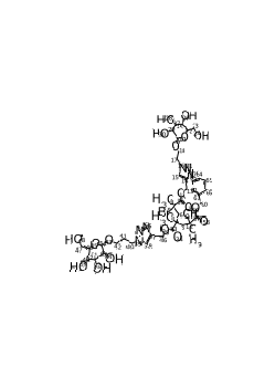 CC(C)(CC(C)(CC(C)(Br)C(=O)OCc1cn(CCO[C@@H]2OC(CO)[C@H](O)[C@H](O)C2O)nn1)C(=O)OCc1cn(CCCO[C@H]2OC(CO)[C@@H](O)[C@H](O)C2O)nn1)C(=O)OCc1ccccc1